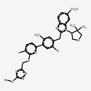 CCOc1nnc(COc2nc(-c3cc(Cl)c(Cc4nc5ccc(C(=O)O)cc5n4C4COCC4(C)C)cc3C)ccc2F)s1